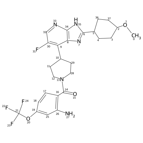 COC1CCC(c2nc3c(C4CCN(C(=O)c5ccc(OC(F)(F)F)cc5N)CC4)c(F)cnc3[nH]2)CC1